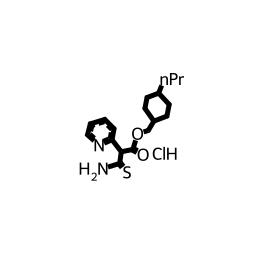 CCCC1CCC(COC(=O)C(C(N)=S)c2ccccn2)CC1.Cl